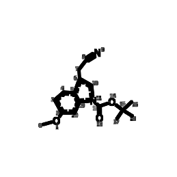 COc1ccc2c(CC#N)cn(C(=O)OC(C)(C)C)c2c1